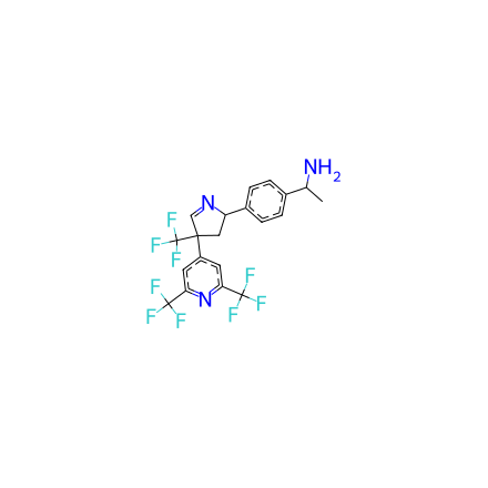 CC(N)c1ccc(C2CC(c3cc(C(F)(F)F)nc(C(F)(F)F)c3)(C(F)(F)F)C=N2)cc1